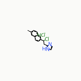 Cc1ccc2cc(C(Cl)Cc3ncc[nH]3)ccc2c1.Cl